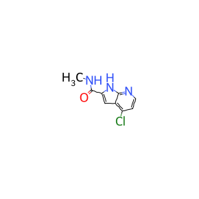 CNC(=O)c1cc2c(Cl)ccnc2[nH]1